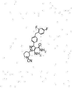 N#CN1CCC[C@@H](n2nc(-c3ccc(Cc4ccc(F)cc4F)cc3)c(C(N)=O)c2N)C1